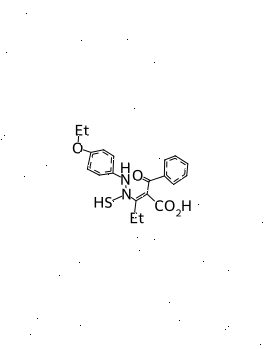 CCOc1ccc(NN(S)C(CC)=C(C(=O)O)C(=O)c2ccccc2)cc1